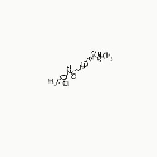 Cc1nc(C(=O)N2CC3CN(CCC(=O)Nc4ccc(C)c(Cl)c4)CC3C2)cs1